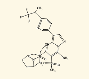 C=S(C)(=O)c1c(C2CC3CCC(C2)N3C(=O)CO)nc2c(-c3ccc(C(C)C(F)(F)F)nc3)cnn2c1N